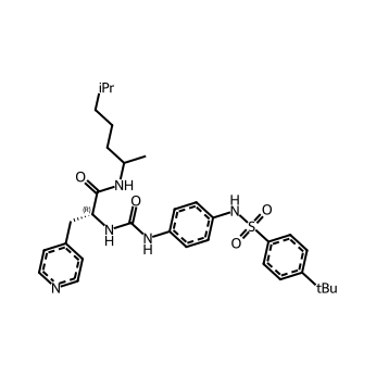 CC(C)CCCC(C)NC(=O)[C@@H](Cc1ccncc1)NC(=O)Nc1ccc(NS(=O)(=O)c2ccc(C(C)(C)C)cc2)cc1